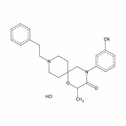 CC1OC2(CCN(CCc3ccccc3)CC2)CN(c2cccc(C#N)c2)C1=O.Cl